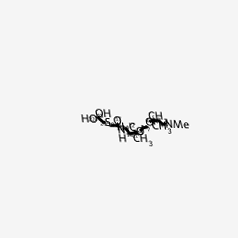 CNCCC(C)(C)OCCOC(C)(C)CCNC(=O)CSCC(O)O